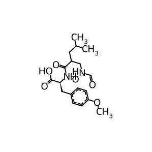 COc1ccc(C[C@H](NC(=O)C(CC(C)C)CN(O)C=O)C(=O)O)cc1